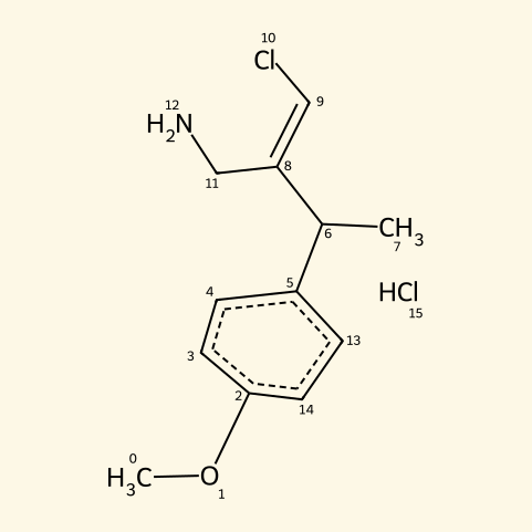 COc1ccc(C(C)/C(=C/Cl)CN)cc1.Cl